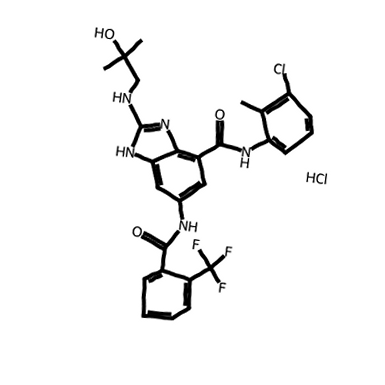 Cc1c(Cl)cccc1NC(=O)c1cc(NC(=O)c2ccccc2C(F)(F)F)cc2[nH]c(NCC(C)(C)O)nc12.Cl